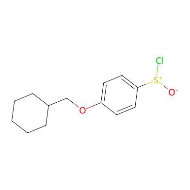 [O-][S+](Cl)c1ccc(OCC2CCCCC2)cc1